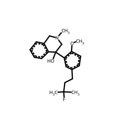 COc1ccc(CCC(C)(C)F)cc1C1(O)CN(C)Cc2ccccc21